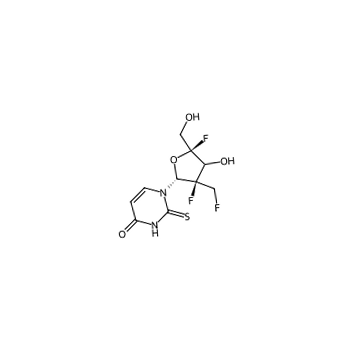 O=c1ccn([C@@H]2O[C@](F)(CO)C(O)[C@]2(F)CF)c(=S)[nH]1